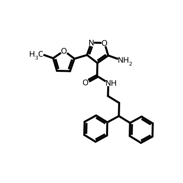 Cc1ccc(-c2noc(N)c2C(=O)NCCC(c2ccccc2)c2ccccc2)o1